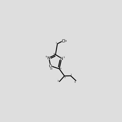 CCC(C)c1nc(CCl)no1